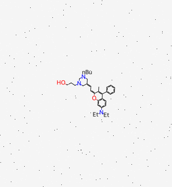 CCCCN1CC(=CC=C2Oc3cc(N(CC)CC)ccc3C(c3ccccc3)=C2C)CN(CCCO)C1